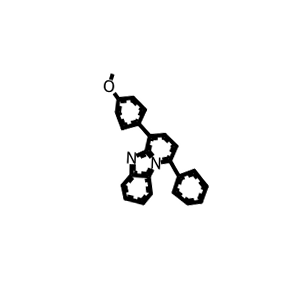 COc1ccc(-c2ccc(-c3ccccc3)n3c2nc2ccccc23)cc1